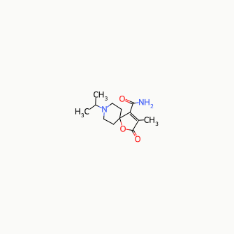 CC1=C(C(N)=O)C2(CCN(C(C)C)CC2)OC1=O